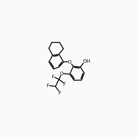 Oc1cccc(OC(F)(F)C(F)F)c1Oc1cccc2c1CCCC2